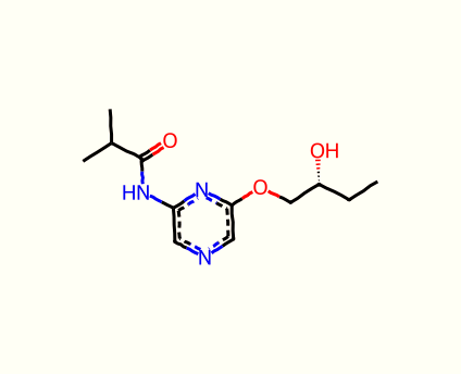 CC[C@@H](O)COc1cncc(NC(=O)C(C)C)n1